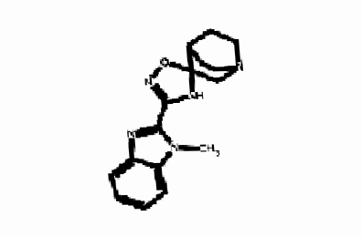 Cn1c(C2=NOC3(CN4CCC3CC4)N2)nc2ccccc21